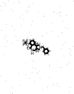 O=C1NC[C@@H]2CN(Cc3ccccc3)C[C@H]2c2cccc(OC(F)(F)F)c21